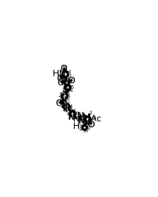 CC(=O)c1c(C)c2cnc(Nc3ccc(N4CCN(C(=O)N5CCN(c6ccc7c(c6)C(=O)N(C6CCC(=O)NC6=O)C7=O)CC5)CC4)cn3)nc2n(C2CCCC2)c1=O